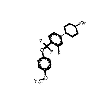 CCC[C@H]1CC[C@H](c2ccc(C(F)(F)Oc3ccc(OC(F)(F)F)cc3)c(F)c2)CC1